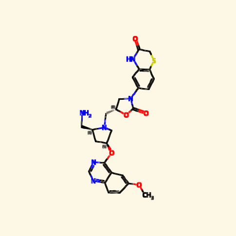 COc1ccc2ncnc(O[C@H]3C[C@@H](CN)N(C[C@@H]4CN(c5ccc6c(c5)NC(=O)CS6)C(=O)O4)C3)c2c1